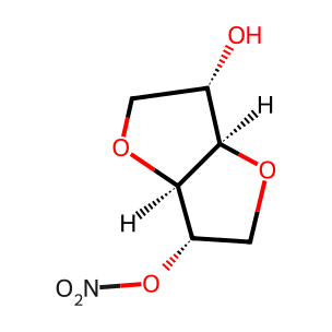 O=[N+]([O-])O[C@H]1CO[C@H]2[C@@H]1OC[C@@H]2O